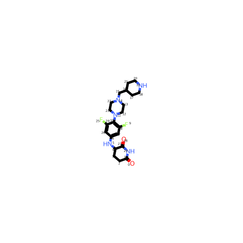 O=C1CCC(Nc2cc(F)c(N3CCN(CC4CCNCC4)CC3)c(F)c2)C(=O)N1